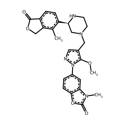 COc1c(CN2CCN[C@H](c3ccc4c(c3C)COC4=O)C2)cnn1-c1ccc2oc(=O)n(C)c2c1